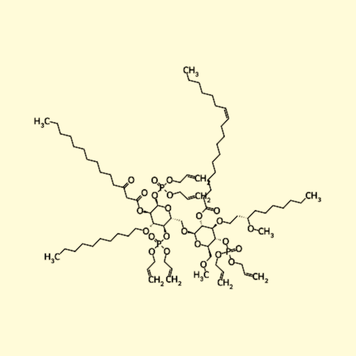 C=CCOP(=O)(OCC=C)O[C@H]1O[C@H](CO[C@@H]2O[C@H](COC)[C@@H](OP(=O)(OCC=C)OCC=C)[C@H](OCC[C@H](CCCCCCC)OC)[C@H]2OC(=O)CCCCCCCCC/C=C\CCCCCC)[C@@H](OP(=O)(OCC=C)OCC=C)[C@H](OCCCCCCCCCC)[C@H]1OC(=O)CC(=O)CCCCCCCCCCC